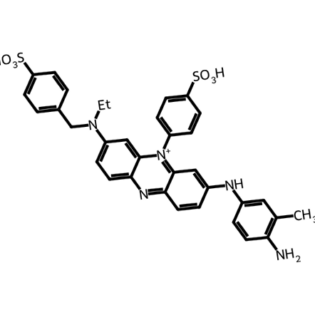 CCN(Cc1ccc(S(=O)(=O)O)cc1)c1ccc2nc3ccc(Nc4ccc(N)c(C)c4)cc3[n+](-c3ccc(S(=O)(=O)O)cc3)c2c1